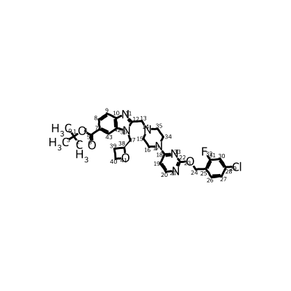 CC(C)(C)OC(=O)c1ccc2nc(CN3CCN(c4ccnc(OCc5ccc(Cl)cc5F)n4)CC3)n(C[C@@H]3CCO3)c2c1